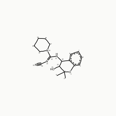 CC1(C)Oc2ccccc2C(NC(=NC#N)N2CCCCC2)C1O